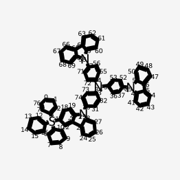 c1ccc(S(c2ccccc2)(c2ccccc2)c2ccc3c(c2)c2ccccc2n3-c2ccc(N(c3ccc(-n4c5ccccc5c5ccccc54)cc3)c3ccc(-n4c5ccccc5c5ccccc54)cc3)cc2)cc1